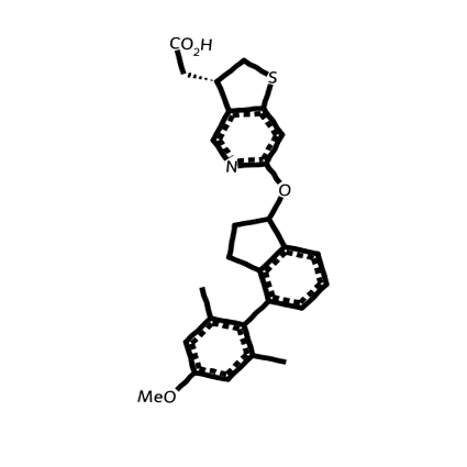 COc1cc(C)c(-c2cccc3c2CCC3Oc2cc3c(cn2)[C@H](CC(=O)O)CS3)c(C)c1